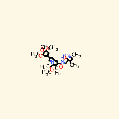 COc1cc(-c2cc3cc(C(=O)NCc4c(C)cc(C)[nH]c4=O)c(C)c(C(C)OC)n3c2)cc(OC)c1OC